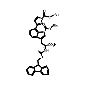 CC(C)(C)OC(=O)n1ccc(-c2cccc3c(C[C@H](NC(=O)OCC4c5ccccc5-c5ccccc54)C(=O)O)cn(C(=O)OC(C)(C)C)c23)n1